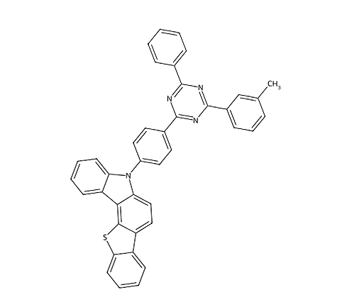 Cc1cccc(-c2nc(-c3ccccc3)nc(-c3ccc(-n4c5ccccc5c5c6sc7ccccc7c6ccc54)cc3)n2)c1